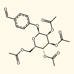 CC(=O)OC[C@H]1O[C@@H](Oc2ccc(C=O)cc2)[C@@H](OC(C)=O)[C@@H](OC(C)=O)[C@@H]1OC(C)=O